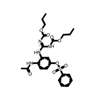 CCCOC(=O)/N=C(\NC(=O)OCCC)Nc1cc(OS(=O)(=O)c2ccccc2)ccc1NC(C)=O